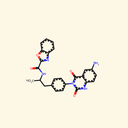 Nc1ccc2[nH]c(=O)n(-c3ccc(CC(NC(=O)c4nc5ccccc5o4)C(=O)O)cc3)c(=O)c2c1